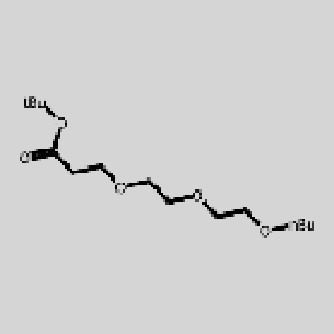 CCCCOCCOCCOCCC(=O)OC(C)(C)C